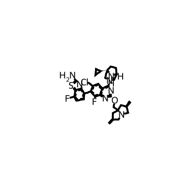 C=C1CN2CC(=C)CC2(COc2nc(N3C[C@@H]4CC[C@](C5CC5)(C3)N4)c3cc(Cl)c(-c4ccc(F)c5sc(N)nc45)c(F)c3n2)C1